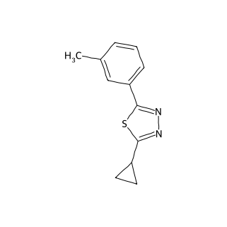 Cc1cccc(-c2nnc(C3CC3)s2)c1